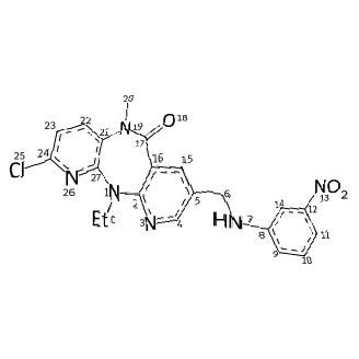 CCN1c2ncc(CNc3cccc([N+](=O)[O-])c3)cc2C(=O)N(C)c2ccc(Cl)nc21